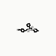 Cc1ccc(NC(=O)C(NCCc2ccc(C#N)cc2)c2ccccc2)nc1